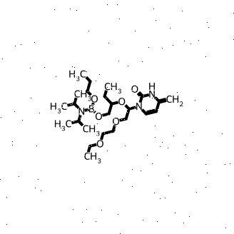 C=C1C=CN(C(COCCOCC)OC(CC)COB(OCCC)N(C(C)C)C(C)C)C(=O)N1